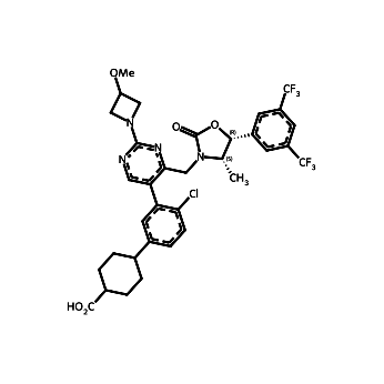 COC1CN(c2ncc(-c3cc(C4CCC(C(=O)O)CC4)ccc3Cl)c(CN3C(=O)O[C@H](c4cc(C(F)(F)F)cc(C(F)(F)F)c4)[C@@H]3C)n2)C1